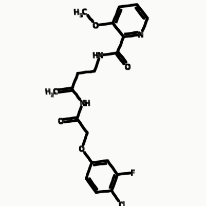 C=C(CCNC(=O)c1ncccc1OC)NC(=O)COc1ccc(Cl)c(F)c1